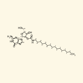 CCCCCCCCCCCCCCCCNC(=O)O[C@@H]1[C@H](O)[C@@H](CO)O[C@H]1n1cnc2c(=O)[nH]c(N)nc21